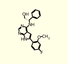 COc1cc(F)ccc1-c1cc2c(N[C@H](CO)c3ccccc3)ncnc2[nH]1